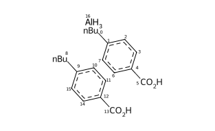 CCCCc1ccc(C(=O)O)cc1.CCCCc1ccc(C(=O)O)cc1.[AlH3]